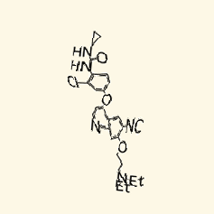 [C-]#[N+]c1cc2c(Oc3ccc(NC(=O)NC4CC4)c(Cl)c3)ccnc2cc1OCCCN(CC)CC